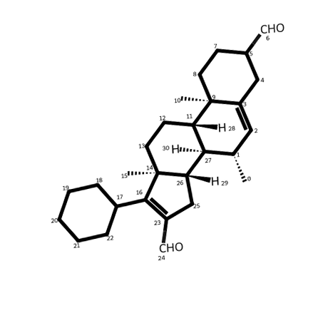 C[C@H]1C=C2CC(C=O)CC[C@]2(C)[C@H]2CC[C@]3(C)C(C4CCCCC4)=C(C=O)C[C@H]3[C@H]12